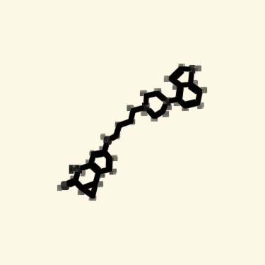 O=C1Nc2cc(OCCCCN3CCN(c4cccc5sccc45)CC3)ccc2C2CC12